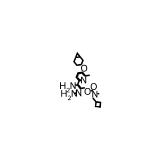 Cc1nc(/C(N)=C(\COC(=O)N(C)CC2CCC2)N(C)N)ccc1OC1CCC2CC2C1